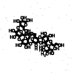 C[C@H](O)C(CO)O[C@@H](O[C@@H]1C(CO)O[C@@H](O[C@@H]2C(CO)O[C@@H](O[C@@H]3C(CO)O[C@@H](O[C@@H]4C(CO)O[C@@H](O[C@@H]5C(CO)OC(O)[C@@H](O)C5O)C(O)C4O)C(O)C3O)[C@@H](O)C2O)[C@@H](O)C1O)[C@@H](O)CO